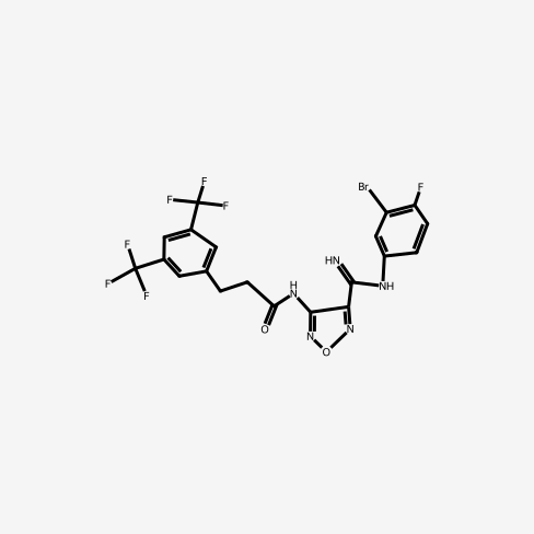 N=C(Nc1ccc(F)c(Br)c1)c1nonc1NC(=O)CCc1cc(C(F)(F)F)cc(C(F)(F)F)c1